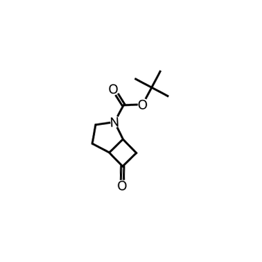 CC(C)(C)OC(=O)N1CCC2C(=O)CC21